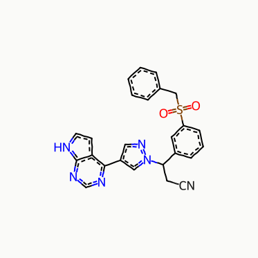 N#CCC(c1cccc(S(=O)(=O)Cc2ccccc2)c1)n1cc(-c2ncnc3[nH]ccc23)cn1